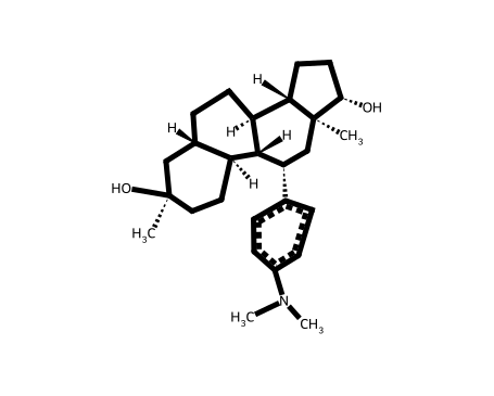 CN(C)c1ccc([C@H]2C[C@]3(C)[C@@H](O)CC[C@H]3[C@@H]3CC[C@H]4C[C@](C)(O)CC[C@@H]4[C@H]32)cc1